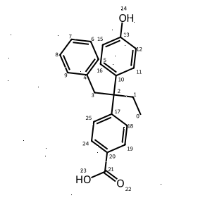 CCC(Cc1ccccc1)(c1ccc(O)cc1)c1ccc(C(=O)O)cc1